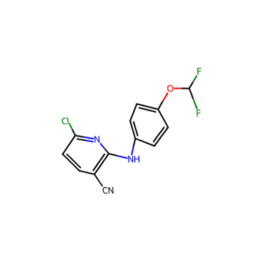 N#Cc1ccc(Cl)nc1Nc1ccc(OC(F)F)cc1